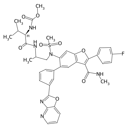 CNC(=O)c1c(-c2ccc(F)cc2)oc2cc(N(CC(C)NC(=O)[C@H](NC(=O)OC)C(C)C)S(C)(=O)=O)c(-c3cccc(-c4nc5ncccc5o4)c3)cc12